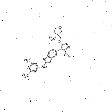 Cc1cc(Nc2cc3cc(-c4c(OC[C@@]5(C)CCOC5)cnn4C)ccn3n2)nc(C)n1